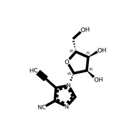 C#Cc1c(C#N)ncn1[C@@H]1O[C@H](CO)[C@@H](O)[C@H]1O